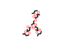 CC1CCOC(C)(CC(=O)OCC(COC(=O)CC2(C)OCCC(C)O2)OC(=O)CC2(C)OCCC(C)O2)O1